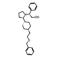 OC[C@H](c1ccccc1)N1CCC[C@@H]1[C@H]1CC[C@H](CCOCc2ccccc2)CC1